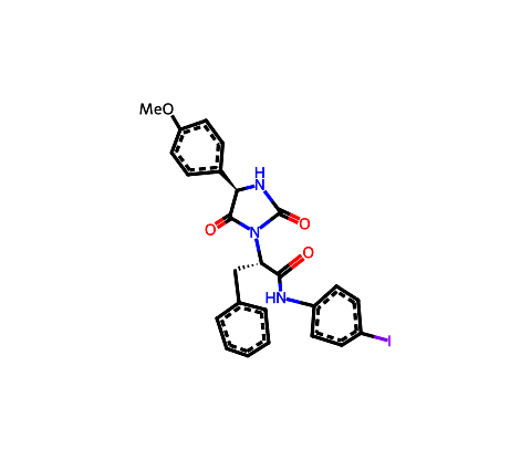 COc1ccc([C@H]2NC(=O)N([C@@H](Cc3ccccc3)C(=O)Nc3ccc(I)cc3)C2=O)cc1